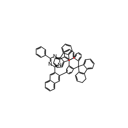 C1=CC2=C(CC1)c1ccccc1C21c2ccccc2C2(c3ccccc3-c3ccccc32)c2cc(-c3cc4ccccc4cc3-c3nc(-c4ccccc4)nc(-c4ccccc4)n3)ccc21